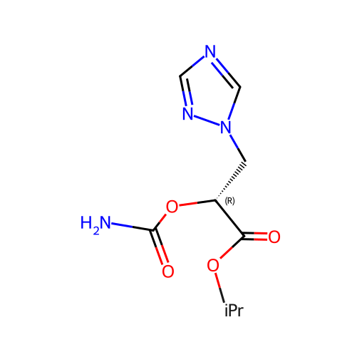 CC(C)OC(=O)[C@@H](Cn1cncn1)OC(N)=O